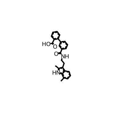 Cc1[nH]c2c(C)cccc2c1CCNC(=O)c1cccc(-c2ccccc2C(=O)O)c1